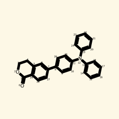 O=C1OCCc2cc(-c3ccc(N(c4ccccc4)c4ccccc4)cc3)ccc21